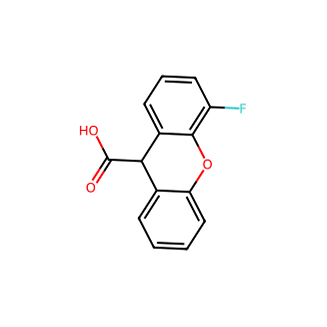 O=C(O)C1c2ccccc2Oc2c(F)cccc21